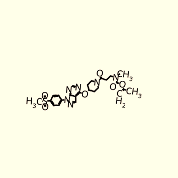 C=C(C)OC(=O)N(C)CCC(=O)N1CCC(Oc2ncnc3c2cnn3-c2ccc(S(C)(=O)=O)cc2)CC1